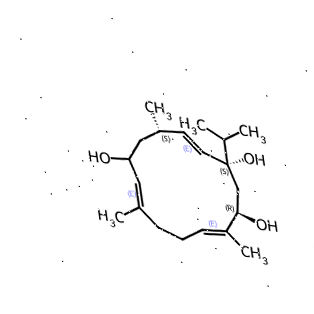 C/C1=C\C(O)C[C@H](C)/C=C/[C@@](O)(C(C)C)C[C@@H](O)/C(C)=C/CC1